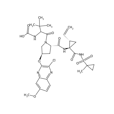 C=C[C@@H]1C[C@]1(NC(=O)[C@@H]1C[C@@H](Oc2nc3cc(OC)ccc3nc2Cl)CN1C(=O)C(NC(=O)O)C(C)(C)C)C(=O)NS(=O)(=O)C1(C)CC1